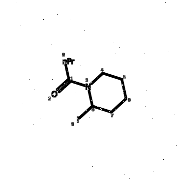 CCCC(=O)N1CCCCC1I